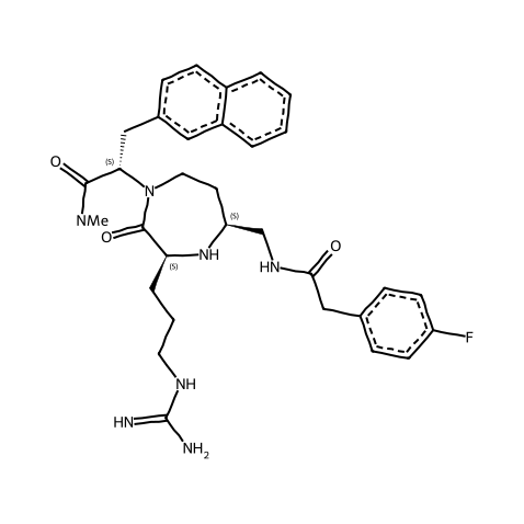 CNC(=O)[C@H](Cc1ccc2ccccc2c1)N1CC[C@@H](CNC(=O)Cc2ccc(F)cc2)N[C@@H](CCCNC(=N)N)C1=O